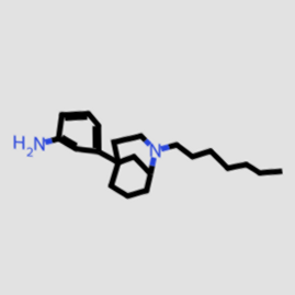 CCCCCCCN1CCC2(c3cccc(N)c3)CCCC1C2